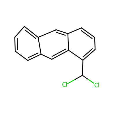 ClC(Cl)c1cccc2cc3ccccc3cc12